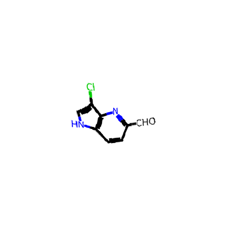 O=Cc1ccc2[nH]cc(Cl)c2n1